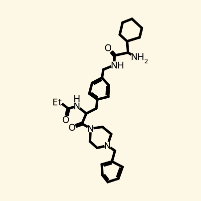 CCC(=O)NC(Cc1ccc(CNC(=O)C(N)C2CCCCC2)cc1)C(=O)N1CCN(Cc2ccccc2)CC1